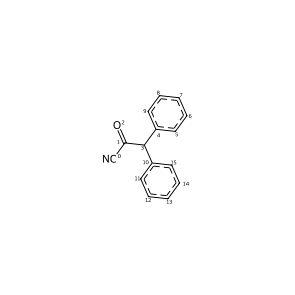 N#CC(=O)C(c1ccccc1)c1ccccc1